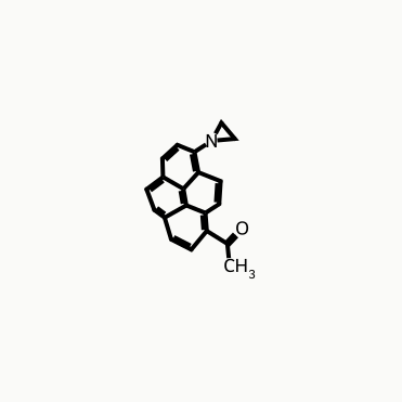 CC(=O)c1ccc2ccc3ccc(N4CC4)c4ccc1c2c34